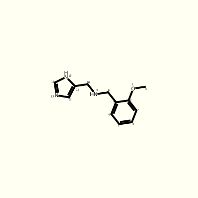 COc1ccccc1CNCc1cnc[nH]1